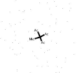 CC(=O)C(C(C)=O)(C(C)=O)C(C)=O.[Ni]